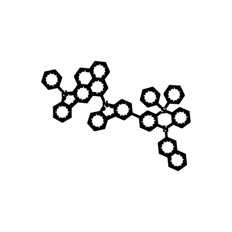 c1ccc(-n2c3ccccc3c3cc4c(-n5c6ccccc6c6cc(-c7ccc8c(c7)[Si](c7ccccc7)(c7ccccc7)c7ccccc7N8c7ccc8ccccc8c7)ccc65)cc5cccc6ccc(c4c65)c32)cc1